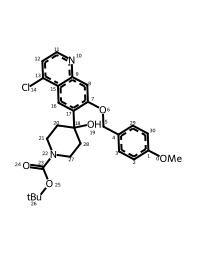 COc1ccc(COc2cc3nccc(Cl)c3cc2C2(O)CCN(C(=O)OC(C)(C)C)CC2)cc1